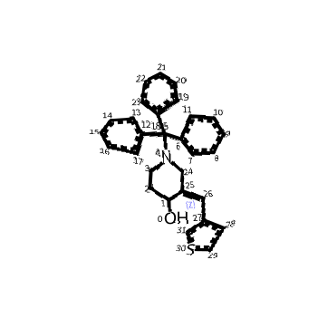 OC1CCN(C(c2ccccc2)(c2ccccc2)c2ccccc2)C/C1=C/c1ccsc1